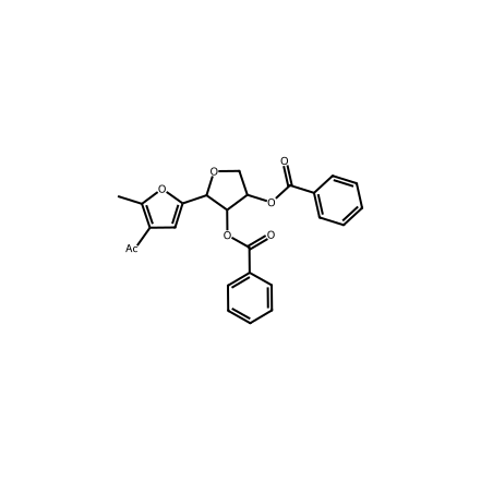 CC(=O)c1cc(C2OCC(OC(=O)c3ccccc3)C2OC(=O)c2ccccc2)oc1C